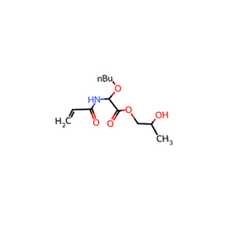 C=CC(=O)NC(OCCCC)C(=O)OCC(C)O